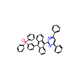 O=P(c1ccccc1)(c1ccccc1)c1cccc(-c2c3ccccc3c(-c3nc(-c4ccccc4)cc(-c4ccccc4)n3)c3ccccc23)c1